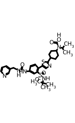 CC(C)N(C(=O)O)C1CCC(c2ncc(-c3ccc(NC(=O)NCc4cccnc4)cc3S(=O)(=O)NC(C)(C)C)s2)CC1